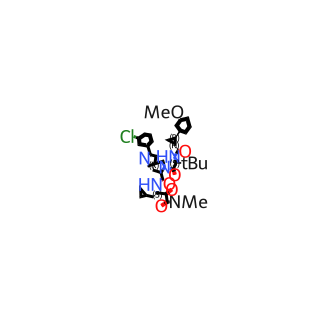 CNC(=O)C(=O)[C@H](CC1CC1)NC(=O)C1C[C@@]2(CN=C(c3cccc(Cl)c3)C2)CN1C(=O)[C@@H](NC(=O)[C@@H]1C[C@H]1c1cccc(OC)c1)C(C)(C)C